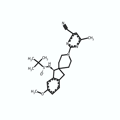 COc1ccc2c(c1)[C@@H](N[S@+]([O-])C(C)(C)C)C1(CCN(c3nc(C)cc(C#N)n3)CC1)C2